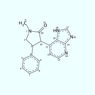 CN1CC(c2ccccc2)C(c2ccnc3nc[nH]c23)C1=O